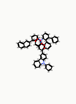 c1ccc(-c2ccccc2-c2c(-c3ccccc3)cccc2N(c2ccc(-c3ccc4c(c3)c3ccccc3n4-c3ccccc3)cc2)c2cccc(-c3ccc4ccccc4c3)c2)cc1